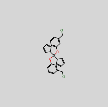 ClCc1cccc([O][Zr]([O]c2cccc(CCl)c2)([CH]2C=CC=C2)[CH]2C=CC=C2)c1